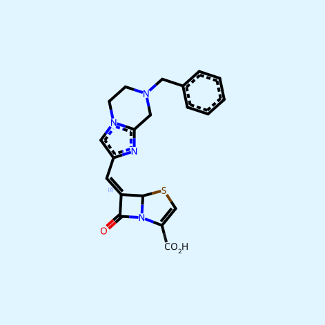 O=C(O)C1=CSC2/C(=C\c3cn4c(n3)CN(Cc3ccccc3)CC4)C(=O)N12